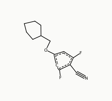 N#Cc1c(F)cc(OCC2CCCCC2)cc1F